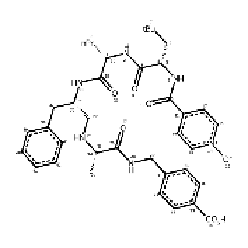 CCC[C@H](NC(=O)[C@H](CC(C)(C)C)NC(=O)c1cc[n+]([O-])cc1)C(=O)N[C@H](CN[C@@H](C)C(=O)NCc1ccc(C(=O)O)cc1)Cc1ccccc1